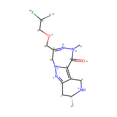 C[C@@H]1Cc2nn3c(c2CN1)C(=O)N(C)N=C(COCC(F)F)C3